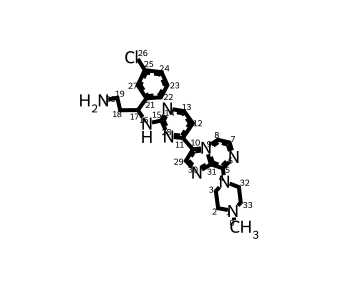 CN1CCN(c2nccn3c(-c4ccnc(NC(CCN)c5cccc(Cl)c5)n4)cnc23)CC1